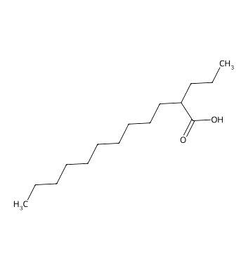 CCCCCCCCCCC(CCC)C(=O)O